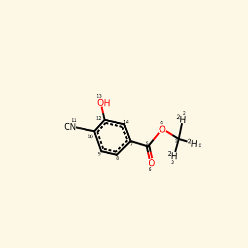 [2H]C([2H])([2H])OC(=O)c1ccc([N+]#[C-])c(O)c1